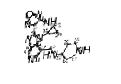 Nc1nonc1-c1nc2cncc(CNC3CCNCC3)c2n1C1CC1